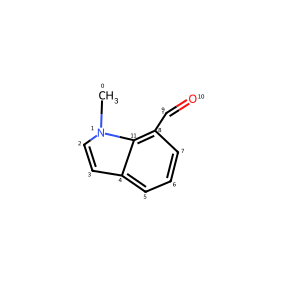 Cn1ccc2cccc([C]=O)c21